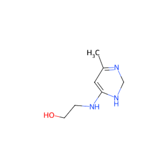 CC1=NCNC(NCCO)=C1